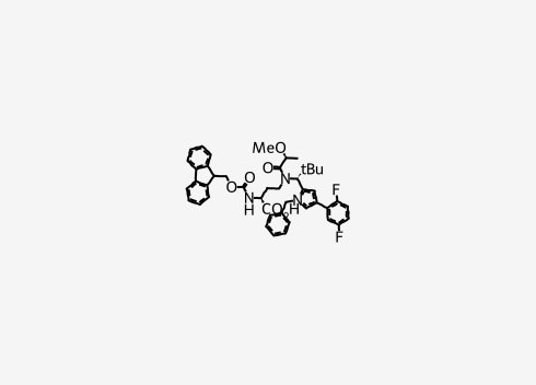 CO[C@@H](C)C(=O)N(CC[C@H](NC(=O)OCC1c2ccccc2-c2ccccc21)C(=O)O)[C@@H](c1cc(-c2cc(F)ccc2F)cn1Cc1ccccc1)C(C)(C)C